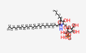 CCCCC/C=C/[C@@H](O)[C@H](COC1OC(CO)C(O)C(OS(=O)(=O)O)C1O)NC(=O)CCCCCCCCCCCCCCCCCCCCCCCCC